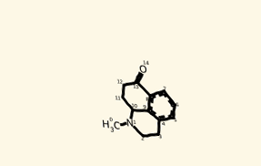 CN1CCc2cccc3c2C1CCC3=O